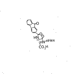 CCCCCCNC(=O)[C@H](CCC(=O)O)NC(=O)c1ccc2c(c1)C(=O)c1ccccc1-2